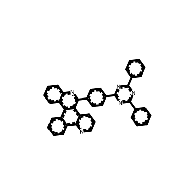 c1ccc(-c2nc(-c3ccccc3)nc(-c3ccc(-c4nc5ccccc5c5c6ccccc6c6ncccc6c45)cc3)n2)cc1